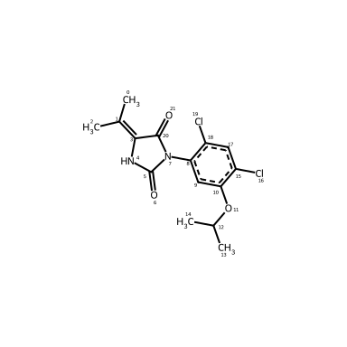 CC(C)=C1NC(=O)N(c2cc(OC(C)C)c(Cl)cc2Cl)C1=O